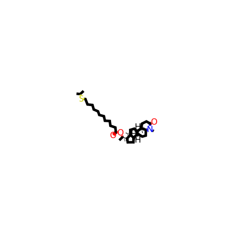 CC(C)SCCCCCCCCCCCC(=O)OC(C)[C@H]1CC[C@H]2[C@@H]3CCC4N(C)C(=O)CC[C@]4(C)[C@H]3CC[C@]12C